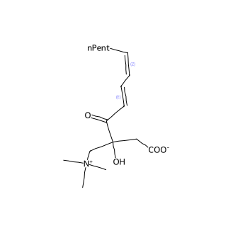 CCCCC/C=C\C=C\C(=O)C(O)(CC(=O)[O-])C[N+](C)(C)C